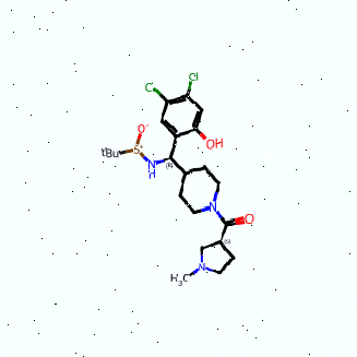 CN1CC[C@H](C(=O)N2CCC([C@@H](N[S+]([O-])C(C)(C)C)c3cc(Cl)c(Cl)cc3O)CC2)C1